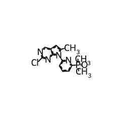 Cc1cc2cnc(Cl)nc2n1-c1cccc(P(C)(C)=O)n1